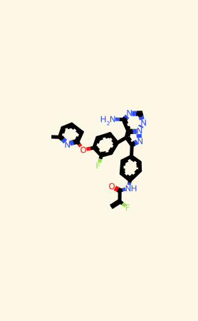 C=C(F)C(=O)Nc1ccc(-c2nn3ncnc(N)c3c2-c2ccc(Oc3cccc(C)n3)c(F)c2)cc1